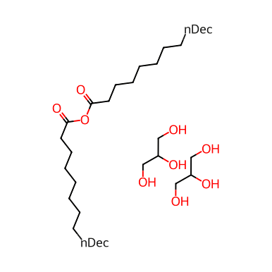 CCCCCCCCCCCCCCCCCC(=O)OC(=O)CCCCCCCCCCCCCCCCC.OCC(O)CO.OCC(O)CO